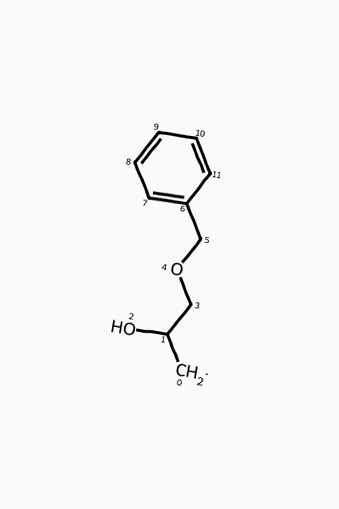 [CH2]C(O)COCc1ccccc1